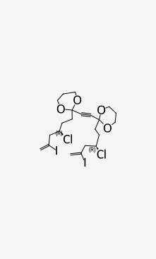 C=C(I)C[C@H](Cl)CCC1(C#CC2(CC[C@@H](Cl)CC(=C)I)OCCCO2)OCCCO1